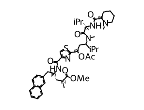 COC(=O)[C@@H](C)C[C@H](Cc1ccc2ccccc2c1)NC(=O)c1csc([C@@H](CC(C(C)C)N(C)C(=O)[C@@H](NC(=O)[C@H]2CCCCN2C)C(C)C)OC(C)=O)n1